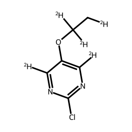 [2H]CC([2H])([2H])Oc1c([2H])nc(Cl)nc1[2H]